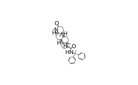 CN1C(=O)CC[C@]2(C)[C@H]3CC[C@]4(C)[C@@H](C(=O)NC(C)(c5ccccc5)c5ccccc5)CC[C@H]4[C@@H]3CC[C@@H]12